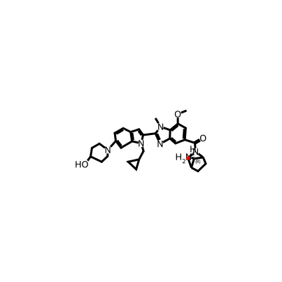 COc1cc(C(=O)N2CC3CCC2[C@@H]3N)cc2nc(-c3cc4ccc(N5CCC(O)CC5)cc4n3CC3CC3)n(C)c12